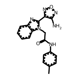 Cc1ccc(NC(=O)Cn2c(-c3nonc3N)nc3ccccc32)cc1